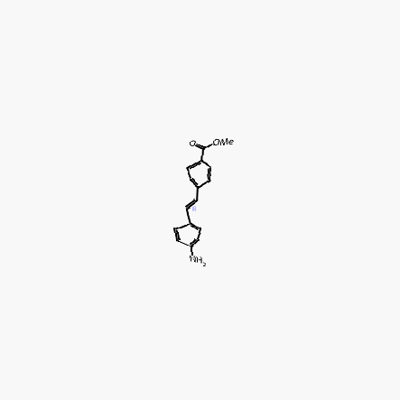 COC(=O)c1ccc(/C=C/c2ccc(N)cc2)cc1